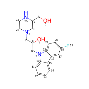 OCC1CN(CC(O)Cn2c3ccccc3c3cc(F)ccc32)CCN1